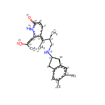 CCc1cc2c(cc1CC)CC(NC[C@H](C)/C(C)=c1\ccc(=O)[nH]\c1=C(\C)O)C2